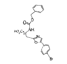 O=C(N[C@@H](Cc1ncc(-c2ccc(Br)cc2)o1)C(=O)O)OCc1ccccc1